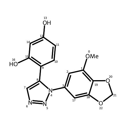 COc1cc(-n2nncc2-c2ccc(O)cc2O)cc2c1OCO2